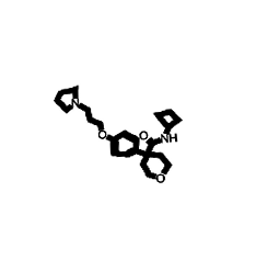 O=C(NC1CCC1)C1(c2ccc(OCCCN3CCCC3)cc2)CCOCC1